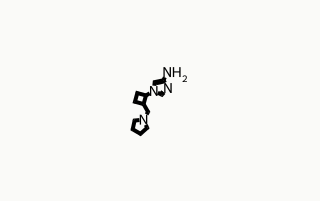 Nc1cn(C2CCC2CN2CCCC2)cn1